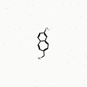 N#CCC1=CC=C2C=C(C(F)(F)F)C=CC2C=C1